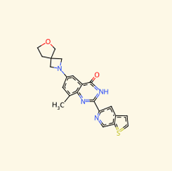 Cc1cc(N2CC3(CCOC3)C2)cc2c(=O)[nH]c(-c3cc4ccsc4cn3)nc12